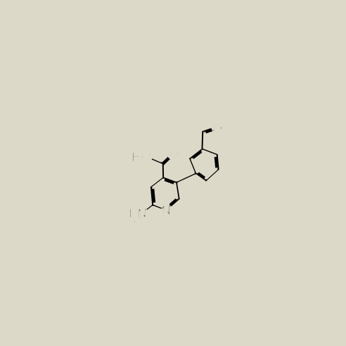 Nc1cc(C(=O)O)c(-c2cccc(C=O)c2)cn1